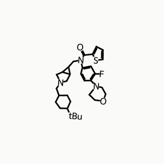 CC(C)(C)C1CCC(CN2CC3C(C2)C3CN(C(=O)c2cccs2)c2ccc(N3CCOCC3)c(F)c2)CC1